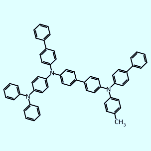 Cc1ccc(N(c2ccc(-c3ccccc3)cc2)c2ccc(-c3ccc(N(c4ccc(-c5ccccc5)cc4)c4ccc(N(c5ccccc5)c5ccccc5)cc4)cc3)cc2)cc1